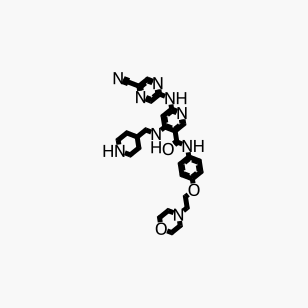 N#Cc1cnc(Nc2cc(NCC3CCNCC3)c(C(=O)Nc3ccc(OCCN4CCOCC4)cc3)cn2)cn1